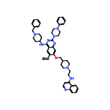 COc1cc2c(NC3CCN(Cc4ccccc4)CC3)nc(N3CCN(c4ccccc4)CC3)nc2cc1OCC1CCN(CCNc2ccnc3ccccc23)CC1